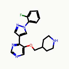 Fc1ccccc1-n1cc(-c2ncncc2OCC2CCNCC2)cn1